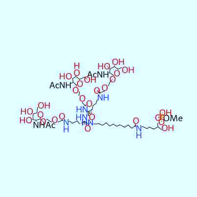 COP(=O)(O)OCC(CO)CCCCNC(=O)CCCCCCCCCCCNC(=O)[C@H](CCCCNC(=O)COCCOC1OC(CO)C(O)C(O)C1NC(C)=O)NC(=O)[C@H](CCCCNC(=O)COCCOC1OC(CO)C(O)C(O)C1NC(C)=O)NC(=O)COCCOC1OC(CO)C(O)C(O)C1NC(C)=O